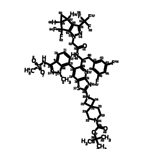 Cn1nc(NS(C)(=O)=O)c2cccc(-c3cc4sc(N5CC6(CCN(C(=O)OC(C)(C)C)CC6)C5)nc4nc3[C@H](Cc3cc(F)cc(F)c3)NC(=O)Cn3nc(C(F)(F)F)c4c3C(F)(F)[C@@H]3C[C@H]43)c21